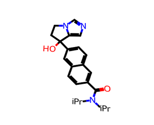 CC(C)N(C(=O)c1ccc2cc(C3(O)CCn4cncc43)ccc2c1)C(C)C